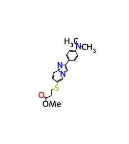 COC(=O)CCSc1ccc2nc(-c3ccc(N(C)C)cc3)cn2c1